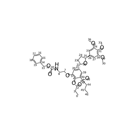 CCCOc1c(OCCNC(=O)OCc2ccccc2)cc([C@@H]2CC[C@@H](c3cc(OC)c(OC)c(OC)c3)O2)cc1S(=O)(=O)CCC